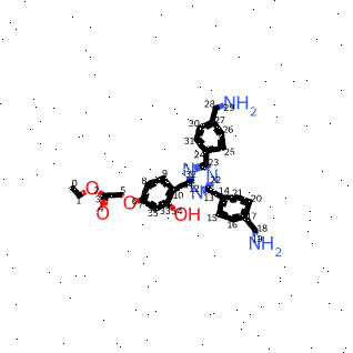 CCOC(=O)COc1ccc(-c2nc(-c3ccc(CN)cc3)nc(-c3ccc(CN)cc3)n2)c(O)c1